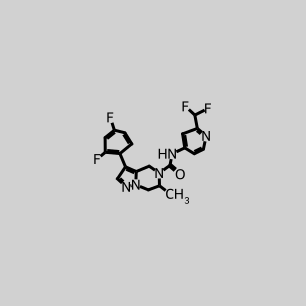 CC1Cn2ncc(-c3ccc(F)cc3F)c2CN1C(=O)Nc1ccnc(C(F)F)c1